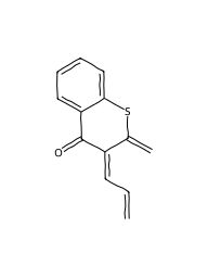 C=C/C=c1\c(=C)sc2ccccc2c1=O